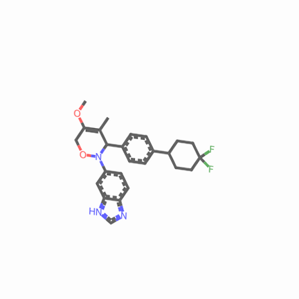 COC1=C(C)C(c2ccc(C3CCC(F)(F)CC3)cc2)N(c2ccc3nc[nH]c3c2)OC1